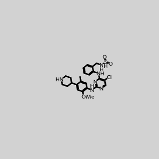 COc1cc(C2CCNCC2)c(C)cc1Nc1ncc(Cl)c(Nc2ccccc2CN[SH](=O)=O)n1